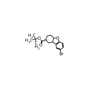 CC(C)(C)OC(=O)N1CCC2Oc3ccc(Br)cc3C2C1